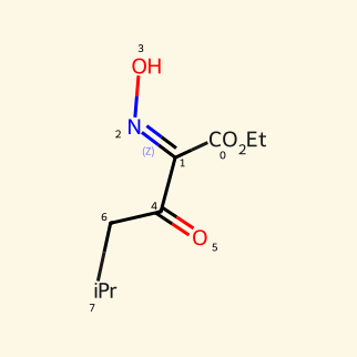 CCOC(=O)/C(=N\O)C(=O)CC(C)C